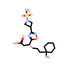 CC1(CCC[C@H](CC(=O)O)c2nc(C3CN(S(C)(=O)=O)C3)no2)CCCCC1